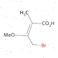 COC(CBr)=C(C)C(=O)O